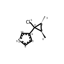 C[C@@H]1[C@@H](C)C1(Cl)c1ccsc1